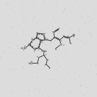 C=N/C(Cn1ncc2nc(N)nc(NC(CCC)CCO)c21)=C(\C=C(/C)Br)OC